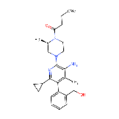 COCCC(=O)N1CCN(c2nc(C3CC3)c(-c3ccccc3CO)c(C)c2N)C[C@H]1C